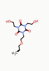 C=CCOCCn1c(=O)n(CCO)c(=O)n(CCO)c1=O